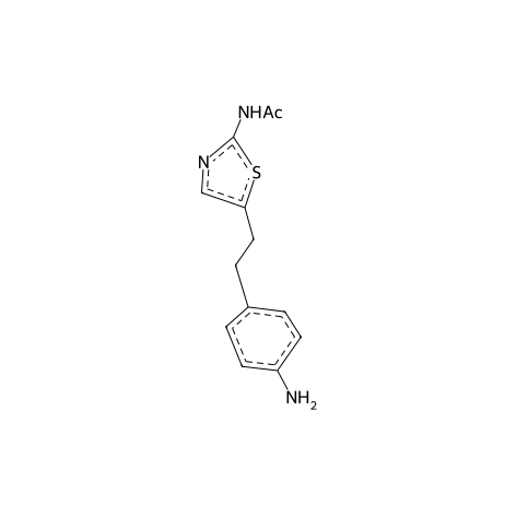 CC(=O)Nc1ncc(CCc2ccc(N)cc2)s1